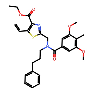 C=Cc1sc(CN(CCCc2ccccc2)C(=O)c2cc(OC)c(C)c(OC)c2)nc1C(=O)OCC